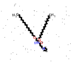 CCCCCCCCC=CCCCCCCCCOCCC(NC(=O)CCCN1CCCC1)OCCCCCCCCC=CCCCCCCCC